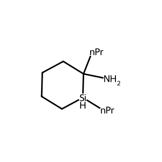 CCC[SiH]1CCCCC1(N)CCC